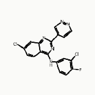 Fc1ccc(Nc2nc(-c3ccnnc3)nc3cc(Cl)ccc23)cc1Cl